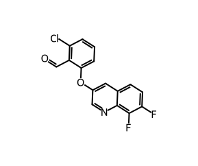 O=Cc1c(Cl)cccc1Oc1cnc2c(F)c(F)ccc2c1